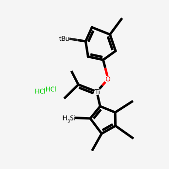 CC1=C(C)C(C)[C]([Ti]([O]c2cc(C)cc(C(C)(C)C)c2)=[C](C)C)=C1[SiH3].Cl.Cl